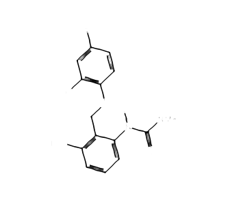 CCc1ccc(OCc2c(C)cccc2N(O)C(=O)NC)c(C(F)(F)F)c1